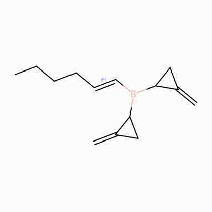 C=C1CC1B(/C=C/CCCC)C1CC1=C